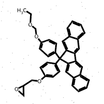 CCOCOc1ccc(C2(c3ccc(OCC4CO4)cc3)c3cc4ccccc4cc3-c3cc4ccccc4cc32)cc1